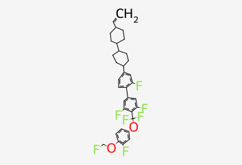 C=CC1CCC(C2CCC(c3ccc(-c4cc(F)c(C(F)(F)Oc5ccc(OCF)c(F)c5)c(F)c4)c(F)c3)CC2)CC1